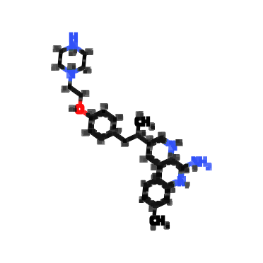 Cc1ccc2c(c1)nc(N)c1ncc(C(C)Cc3ccc(OCCN4CCNCC4)cc3)cc12